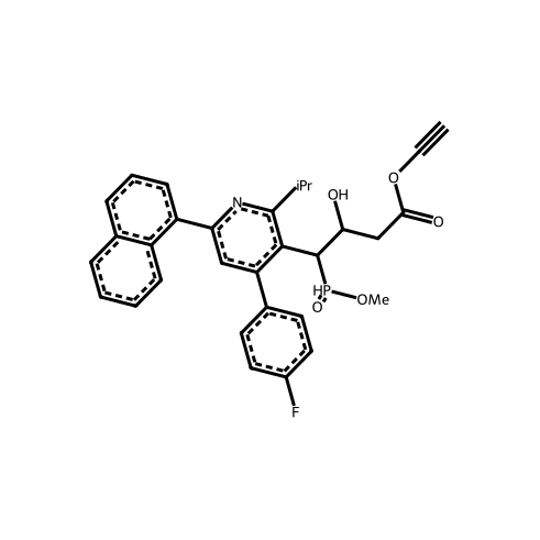 C#COC(=O)CC(O)C(c1c(-c2ccc(F)cc2)cc(-c2cccc3ccccc23)nc1C(C)C)[PH](=O)OC